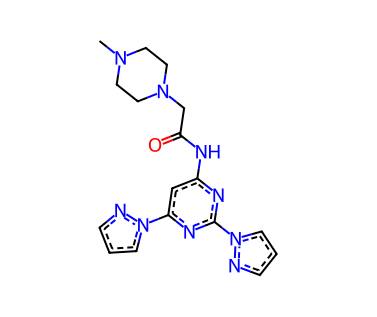 CN1CCN(CC(=O)Nc2cc(-n3cccn3)nc(-n3cccn3)n2)CC1